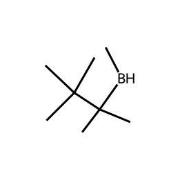 CBC(C)(C)C(C)(C)C